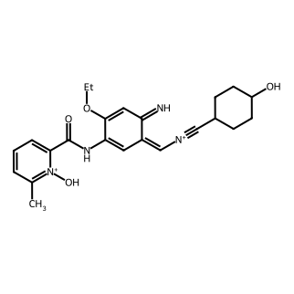 CCOC1=CC(=N)/C(=C\[N+]#CC2CCC(O)CC2)C=C1NC(=O)c1cccc(C)[n+]1O